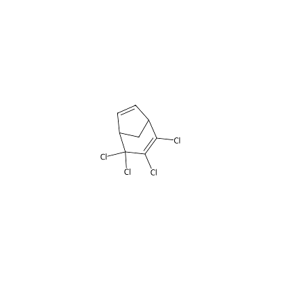 ClC1=C(Cl)C(Cl)(Cl)C2C=CC1C2